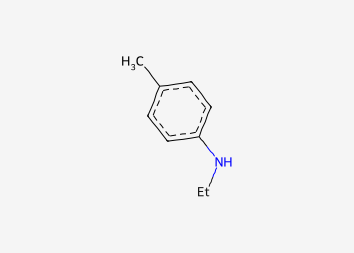 CCNc1ccc(C)cc1